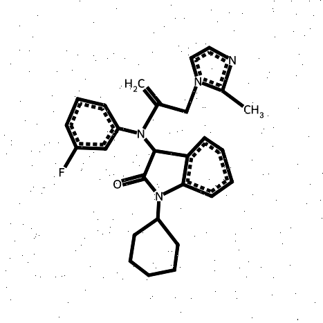 C=C(Cn1ccnc1C)N(c1cccc(F)c1)C1C(=O)N(C2CCCCC2)c2ccccc21